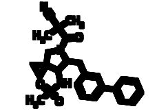 CC(C)(C#N)C(=O)N1CC2(CC2)C(NS(C)(=O)=O)C1Cc1cccc(-c2ccccc2)c1